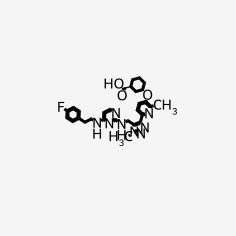 Cc1nc(-c2nnn(C)c2CNc2nccc(NCCc3ccc(F)cc3)n2)ccc1O[C@H]1CCC[C@H](C(=O)O)C1